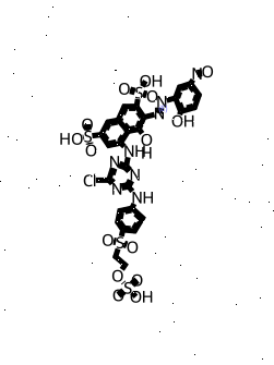 O=Nc1ccc(O)c(/N=N/c2c(S(=O)(=O)O)cc3cc(S(=O)(=O)O)cc(Nc4nc(Cl)nc(Nc5ccc(S(=O)(=O)CCOS(=O)(=O)O)cc5)n4)c3c2O)c1